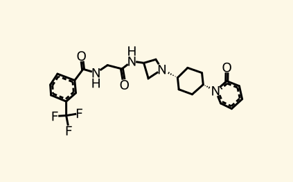 O=C(CNC(=O)c1cccc(C(F)(F)F)c1)NC1CN([C@H]2CC[C@@H](n3ccccc3=O)CC2)C1